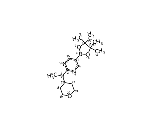 CN(c1ncc(B2OC(C)(C)C(C)(C)O2)cn1)C1CCOCC1